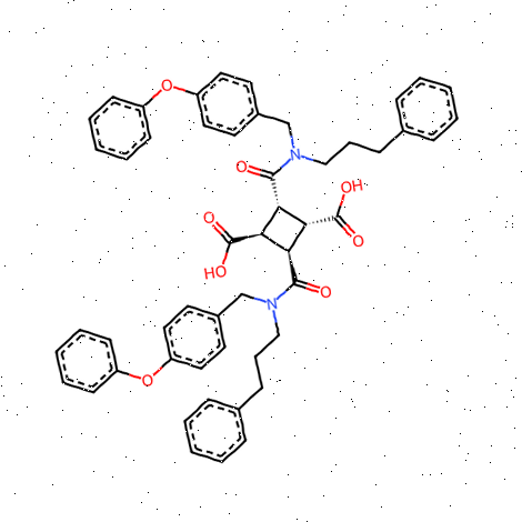 O=C(O)[C@H]1[C@H](C(=O)N(CCCc2ccccc2)Cc2ccc(Oc3ccccc3)cc2)[C@H](C(=O)O)[C@H]1C(=O)N(CCCc1ccccc1)Cc1ccc(Oc2ccccc2)cc1